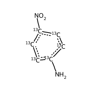 N[13c]1[13cH][13cH][13c]([N+](=O)[O-])[13cH][13cH]1